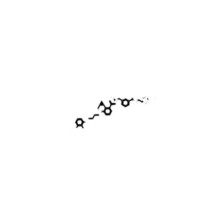 Cc1c(Cl)cccc1OCCCC(=O)N1CC2CC2c2c(-c3cnn(Cc4cccc(C(=O)NCCS(=O)(=O)O)c4)c3)cccc21